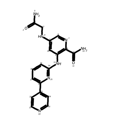 NC(=O)CNc1cnc(C(N)=O)c(Nc2cccc(-c3ccncc3)n2)c1